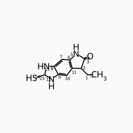 CCC1C(=O)Nc2cc3c(cc21)NC(S)N3